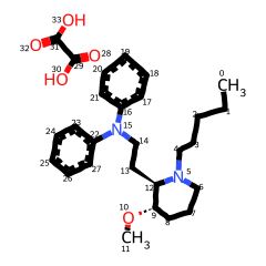 CCCCCN1CCC[C@H](OC)[C@H]1CCN(c1ccccc1)c1ccccc1.O=C(O)C(=O)O